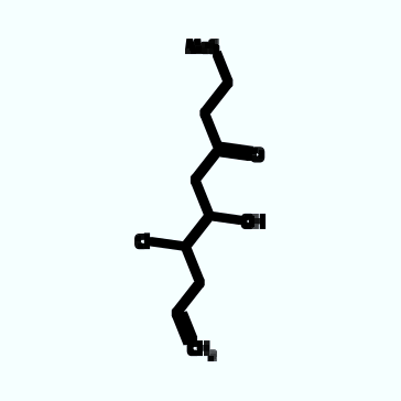 C=CCC(Cl)C(O)CC(=O)CCSC